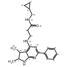 CC1Nc2nc(-c3ccccc3)nc(NCCC(=O)NCC3CC3)c2C1C